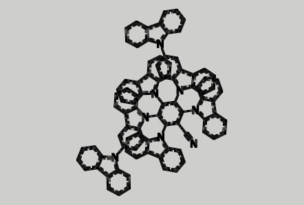 N#Cc1c(-n2c3ccccc3c3ccccc32)c(-n2c3ccccc3c3cc(-n4c5ccccc5c5ccccc54)ccc32)c(-n2c3ccccc3c3ccccc32)c(-n2c3ccccc3c3cc(-n4c5ccccc5c5ccccc54)ccc32)c1-n1c2ccccc2c2ccccc21